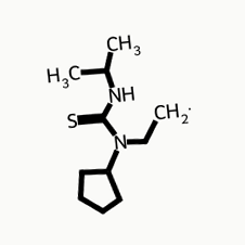 [CH2]CN(C(=S)NC(C)C)C1CCCC1